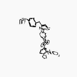 CCCc1ccc(Cc2csc(N3CCN(S(=O)(=O)c4ccc(Cl)c([N+](=O)[O-])c4)CC3)n2)cc1